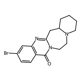 O=c1c2ccc(Br)cc2nc2n1CCN1CCCCC1C2